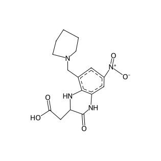 O=C(O)CC1Nc2c(CN3CCCCC3)cc([N+](=O)[O-])cc2NC1=O